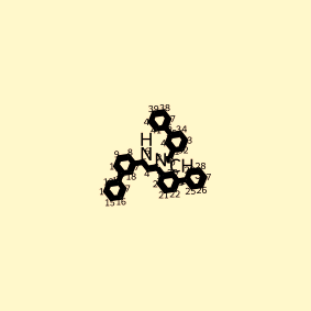 C/C(=N\C(=C/C(=N)c1cccc(-c2ccccc2)c1)c1cccc(-c2ccccc2)c1)c1cccc(-c2ccccc2)c1